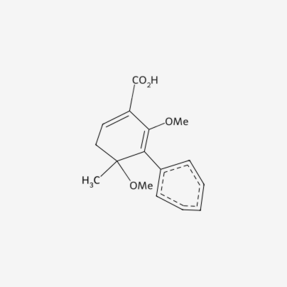 COC1=C(c2ccccc2)C(C)(OC)CC=C1C(=O)O